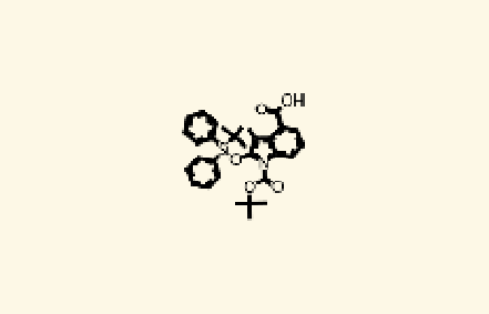 Cc1c(O[Si](c2ccccc2)(c2ccccc2)C(C)(C)C)n(C(=O)OC(C)(C)C)c2cccc(C(=O)O)c12